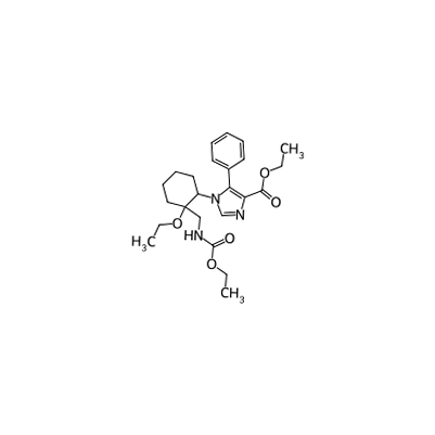 CCOC(=O)NCC1(OCC)CCCCC1n1cnc(C(=O)OCC)c1-c1ccccc1